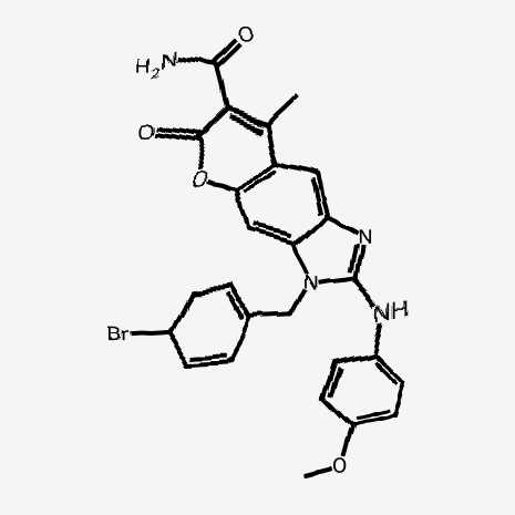 COc1ccc(Nc2nc3cc4c(C)c(C(N)=O)c(=O)oc4cc3n2CC2=CCC(Br)C=C2)cc1